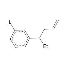 C=CCC(CC)c1cccc(I)c1